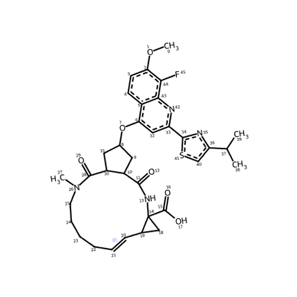 COc1ccc2c(OC3CC4C(=O)NC5(C(=O)O)CC5/C=C/CCCCN(C)C(=O)C4C3)cc(-c3nc(C(C)C)cs3)nc2c1F